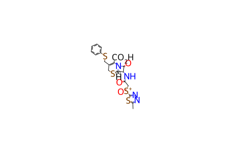 Cc1nnc([S+]([O-])CC(=O)NC2C(=O)N3C(C(=O)O)=C(CSc4ccccc4)CS[C@@H]23)s1